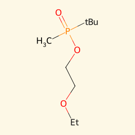 CCOCCOP(C)(=O)C(C)(C)C